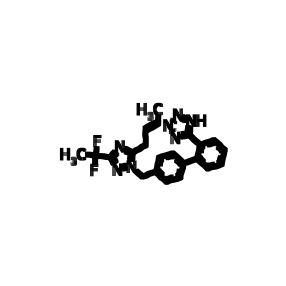 CC=CCc1nc(C(C)(F)F)nn1Cc1ccc(-c2ccccc2-c2nnn[nH]2)cc1